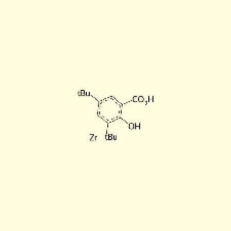 CC(C)(C)c1cc(C(=O)O)c(O)c(C(C)(C)C)c1.[Zr]